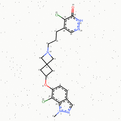 Cn1ncc2ccc(OC3CC4(C3)CN(CCCc3cn[nH]c(=O)c3Cl)C4)c(Cl)c21